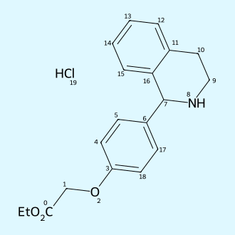 CCOC(=O)COc1ccc(C2NCCc3ccccc32)cc1.Cl